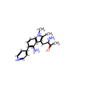 CC(=O)C(N)Cc1c(C)n(C)c2ccc(-c3ccncc3)c(N)c12